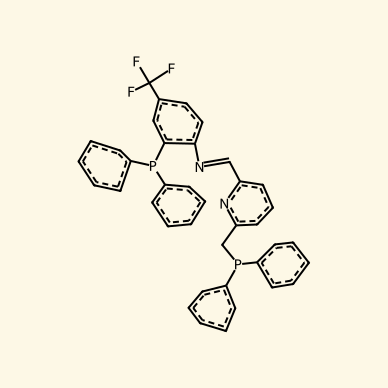 FC(F)(F)c1ccc(/N=C/c2cccc(CP(c3ccccc3)c3ccccc3)n2)c(P(c2ccccc2)c2ccccc2)c1